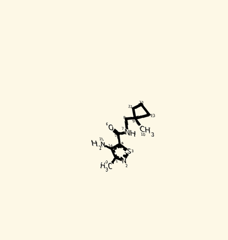 Cc1nsc(C(=O)NCC2(C)CCC2)c1N